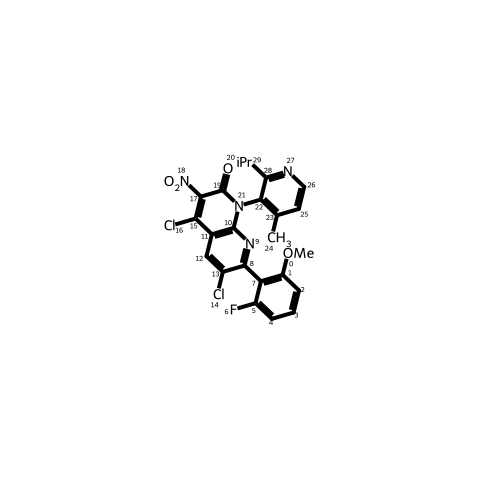 COc1cccc(F)c1-c1nc2c(cc1Cl)c(Cl)c([N+](=O)[O-])c(=O)n2-c1c(C)ccnc1C(C)C